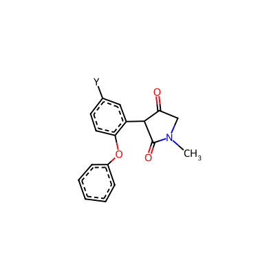 CN1CC(=O)C(c2c[c]([Y])ccc2Oc2ccccc2)C1=O